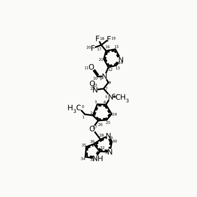 CCc1cc(N(C)C(CN(C=O)c2cncc(C(F)(F)F)c2)N=O)ccc1Oc1ncnc2[nH]ccc12